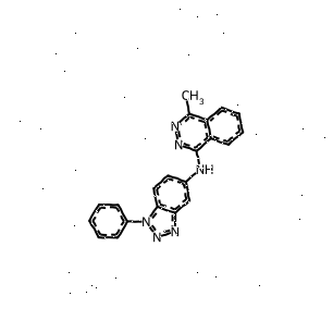 Cc1nnc(Nc2ccc3c(c2)nnn3-c2ccccc2)c2ccccc12